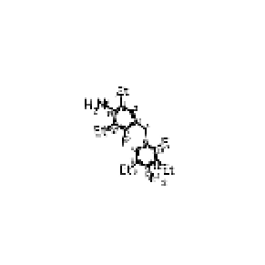 CCc1cc(Cc2cc(CC)c(N)c(CC)c2F)c(F)c(CC)c1N